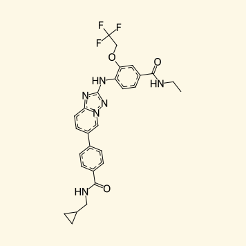 CCNC(=O)c1ccc(Nc2nc3ccc(-c4ccc(C(=O)NCC5CC5)cc4)cn3n2)c(OCC(F)(F)F)c1